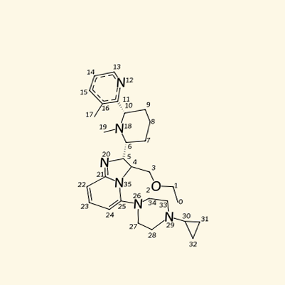 CCOCC1C([C@H]2CCC[C@@H](c3ncccc3C)N2C)N=C2C=CC=C(N3CCN(C4CC4)CC3)N21